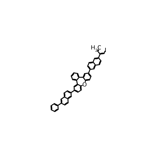 C=C/C(=C\I)c1ccc2cc(-c3ccc4c(c3)-c3ccccc3-c3cc(-c5ccc6cc(-c7ccccc7)ccc6c5)ccc3O4)ccc2c1